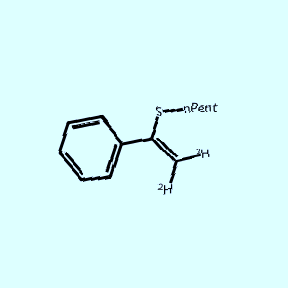 [2H]C([2H])=C(SCCCCC)c1ccccc1